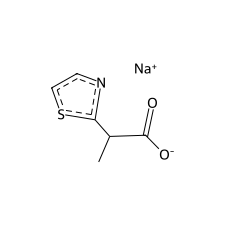 CC(C(=O)[O-])c1nccs1.[Na+]